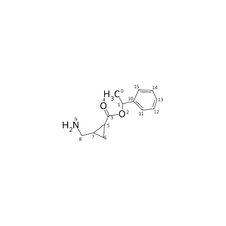 CC(OC(=O)C1CC1CN)c1ccccc1